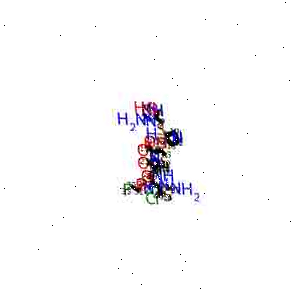 N=C(N)NC(CO)CSc1cnccc1SC1=C(C(=O)O)N2C(=O)[C@@H](NC(=O)/C(=N\OCCF)c3nc(N)sc3Cl)[C@@H]2SC1